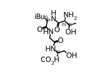 CC[C@H](C)[C@H](NC(=O)[C@@H](N)[C@@H](C)O)C(=O)NCC(=O)N[C@@H](CO)C(=O)O